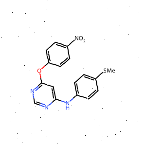 CSc1ccc(Nc2cc(Oc3ccc([N+](=O)[O-])cc3)ncn2)cc1